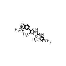 Cc1cc(NC(=O)Nc2nc(C)c(-c3ccc(Cl)c(S(C)(=O)=O)c3)s2)n(C)n1